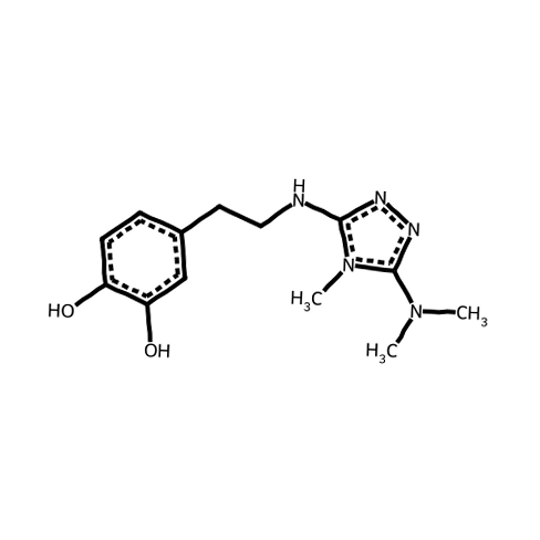 CN(C)c1nnc(NCCc2ccc(O)c(O)c2)n1C